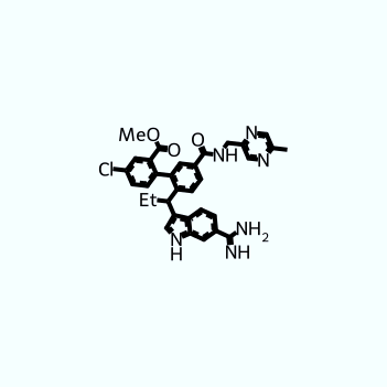 CCC(c1ccc(C(=O)NCc2cnc(C)cn2)cc1-c1ccc(Cl)cc1C(=O)OC)c1c[nH]c2cc(C(=N)N)ccc12